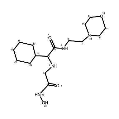 O=C(CNC(C(=O)NCCN1CCOCC1)C1CCCCC1)NO